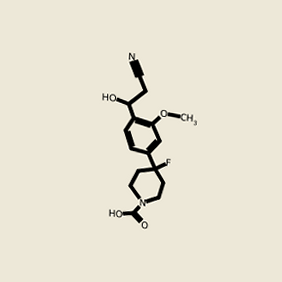 COc1cc(C2(F)CCN(C(=O)O)CC2)ccc1C(O)CC#N